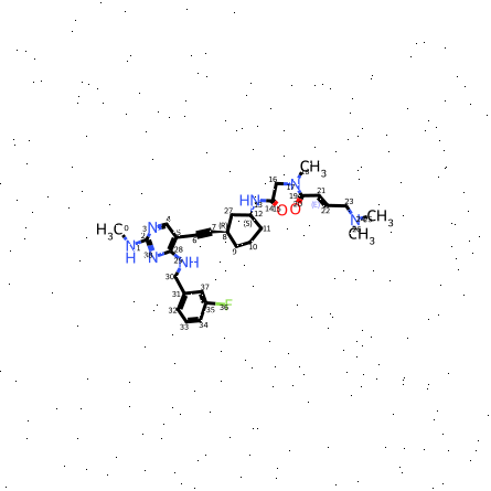 CNc1ncc(C#C[C@@H]2CCC[C@H](NC(=O)CN(C)C(=O)/C=C/CN(C)C)C2)c(NCc2cccc(F)c2)n1